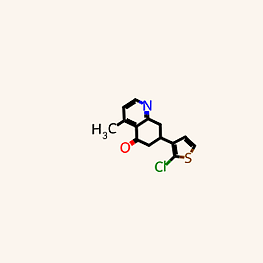 Cc1ccnc2c1C(=O)CC(c1ccsc1Cl)C2